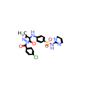 CC1=NN(C(=O)c2ccc(Cl)cc2)C(=O)C1Nc1ccc(S(=O)(=O)Nc2ncccn2)cc1